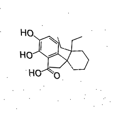 CCC1(CC)CCCCC1(CC)c1ccc(O)c(O)c1C(=O)O